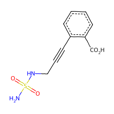 NS(=O)(=O)NCC#Cc1ccccc1C(=O)O